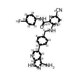 N#Cc1cnc(NCc2ccc(-c3cnc4[nH]nc(N)c4c3)cc2)c(C(=O)Nc2ccc(F)cc2)n1